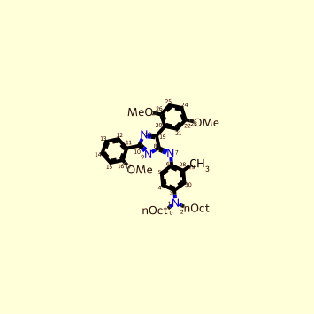 CCCCCCCCN(CCCCCCCC)c1ccc(/N=C2\N=C(c3ccccc3OC)N=C2c2cc(OC)ccc2OC)c(C)c1